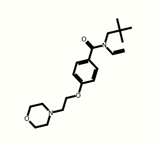 C=CN(CC(C)(C)C)C(=O)c1ccc(OCCN2CCOCC2)cc1